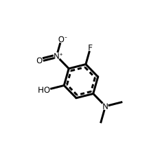 CN(C)c1cc(O)c([N+](=O)[O-])c(F)c1